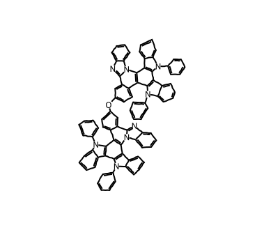 c1ccc(-n2c3ccccc3c3c2c2c4ccc(Oc5ccc6c(c5)c5nc7ccccc7n5c5c6c6c(c7ccccc7n6-c6ccccc6)c6c5c5ccccc5n6-c5ccccc5)cc4c4nc5ccccc5n4c2c2c4ccccc4n(-c4ccccc4)c32)cc1